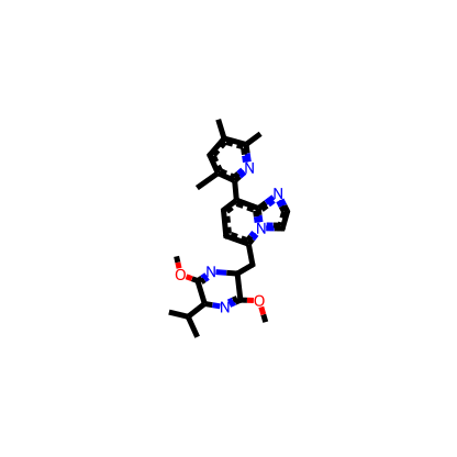 COC1=NC(C(C)C)C(OC)=NC1Cc1ccc(-c2nc(C)c(C)cc2C)c2nccn12